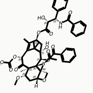 COC(=O)O[C@H]1C(=O)[C@]2(C)[C@@H](OC)C[C@H]3OC[C@]34B(C(C)=O)[C@@]42[C@H](OC(=O)c2ccccc2)[C@]2(O)C[C@H](OC(=O)[C@H](O)[C@@H](NC(=O)c3ccccc3)c3ccccc3)C(C)=C1C2(C)C